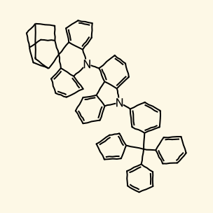 c1ccc(C(c2ccccc2)(c2ccccc2)c2cccc(-n3c4ccccc4c4c(N5c6ccccc6C6(c7ccccc75)C5CC7CC(C5)CC6C7)cccc43)c2)cc1